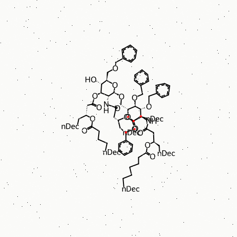 CCCCCCCCCCCCCCCC(=O)O[C@H](CCCCCCCCCCC)CC(=O)N[C@H]1[C@H](OCc2ccccc2)O[C@H](CO[C@@H]2O[C@H](COCc3ccccc3)[C@@H](O)[C@H](OC(=O)C[C@@H](CCCCCCCCCCC)OC(=O)CCCCCCCCCCCCC)[C@H]2NC(=O)C[C@@H](CCCCCCCCCCC)OC(=O)CCCCCCCCCCC)[C@@H](OCc2ccccc2)[C@@H]1OCc1ccccc1